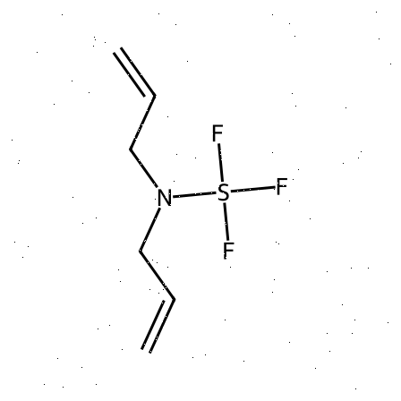 C=CCN(CC=C)S(F)(F)F